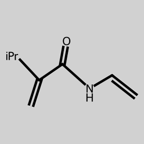 C=CNC(=O)C(=C)C(C)C